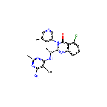 Cc1cncc(-n2c([C@H](C)Nc3nc(C)nc(N)c3C#N)nc3cccc(Cl)c3c2=O)c1